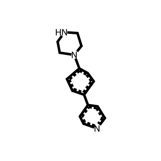 c1cc(-c2ccc(N3CCNCC3)cc2)ccn1